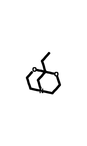 CCC12CN(CCO1)CCO2